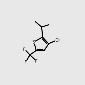 CC(C)c1sc(C(F)(F)F)cc1O